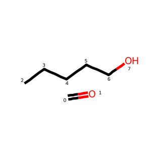 C=O.CCCCCO